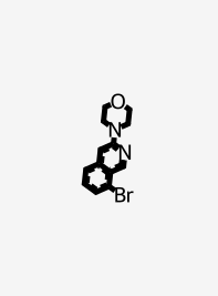 Brc1cccc2cc(N3CCOCC3)ncc12